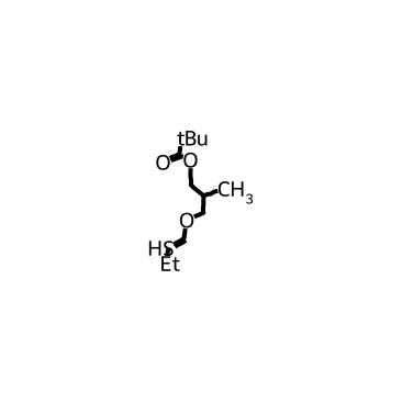 CC[SH]=COCC(C)COC(=O)C(C)(C)C